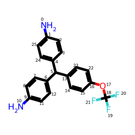 Nc1ccc(C(c2ccc(N)cc2)c2ccc(OC(F)(F)F)cc2)cc1